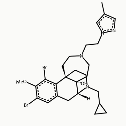 COc1c(Br)cc2c(c1Br)[C@@]13CCN(CCn4cc(C)cn4)CC[C@@]1(O)[C@@H](C2)N(CC1CC1)CC3